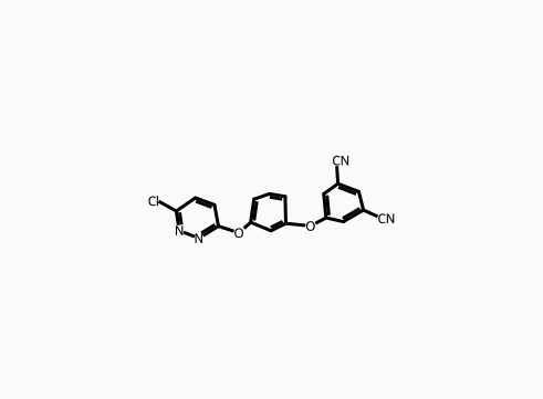 N#Cc1cc(C#N)cc(Oc2cccc(Oc3ccc(Cl)nn3)c2)c1